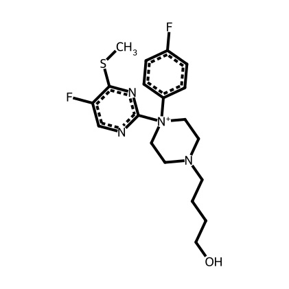 CSc1nc([N+]2(c3ccc(F)cc3)CCN(CCCCO)CC2)ncc1F